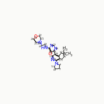 CC1(C)CCc2c(N3CCCC3)nc3oc4c(NCCN5CCOCC5)ncnc4c3c2C1